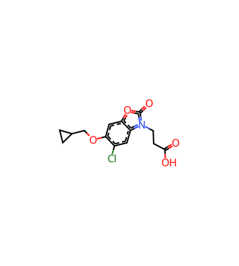 O=C(O)CCn1c(=O)oc2cc(OCC3CC3)c(Cl)cc21